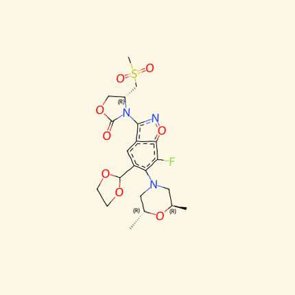 C[C@@H]1CN(c2c(C3OCCO3)cc3c(N4C(=O)OC[C@@H]4CS(C)(=O)=O)noc3c2F)C[C@@H](C)O1